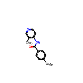 COc1ccc(C(=O)Nc2ccncc2C=O)cc1